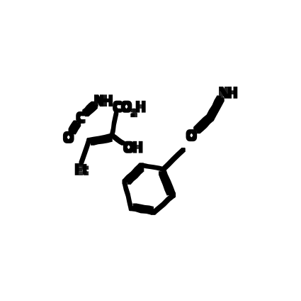 CC/C=C(\O)C(=O)O.Cc1ccccc1.N=C=O.N=C=O